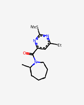 CCc1cc(C(=O)N2CCCCCC2C)nc(SC)n1